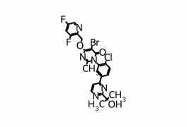 Cc1nc(OCc2ncc(F)cc2F)c(Br)c(=O)n1-c1cc(-c2ccnc(C(C)(C)O)n2)ccc1Cl